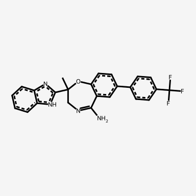 CC1(c2nc3ccccc3[nH]2)CN=C(N)c2cc(-c3ccc(C(F)(F)F)cc3)ccc2O1